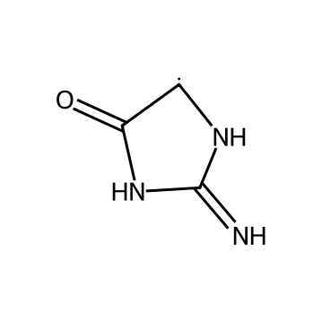 N=C1N[CH]C(=O)N1